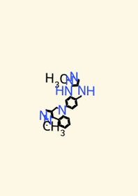 Cn1ncc2c1Nc1cc(N3Cc4cnn(C)c4-c4ccccc43)ccc1CN2